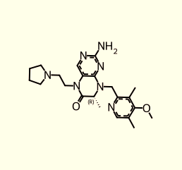 COc1c(C)cnc(CN2c3nc(N)ncc3N(CCN3CCCC3)C(=O)[C@H]2C)c1C